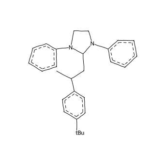 CC(CC1N(c2ccccc2)CCN1c1ccccc1)c1ccc(C(C)(C)C)cc1